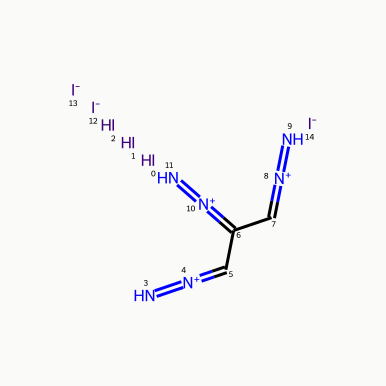 I.I.I.N=[N+]=CC(C=[N+]=N)=[N+]=N.[I-].[I-].[I-]